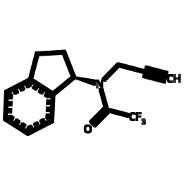 C#CCN(C(=O)C(F)(F)F)[C@@H]1CCc2ccccc21